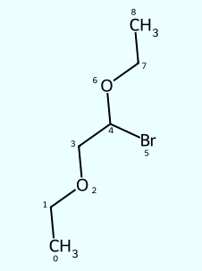 CCOCC(Br)OCC